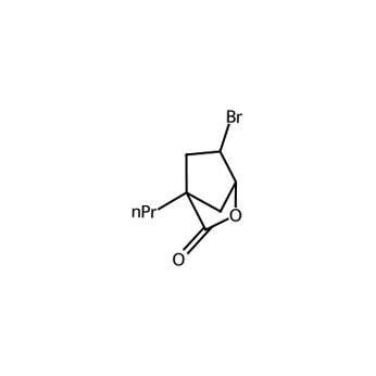 CCCC12CC(Br)C(C1)OC2=O